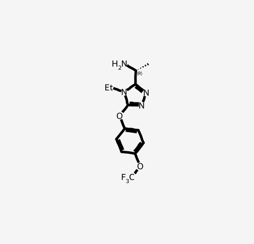 CCn1c(Oc2ccc(OC(F)(F)F)cc2)nnc1[C@@H](C)N